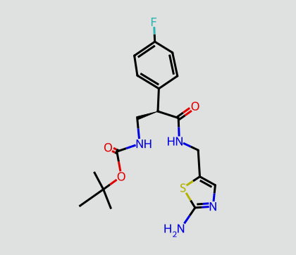 CC(C)(C)OC(=O)NC[C@H](C(=O)NCc1cnc(N)s1)c1ccc(F)cc1